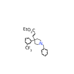 CCOC(=O)/C=C/C1(c2cccc(C(F)(F)F)c2)CCN(Cc2ccccc2)CC1